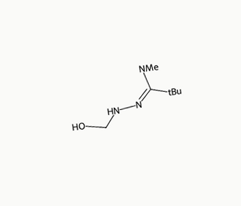 CN/C(=N\NCO)C(C)(C)C